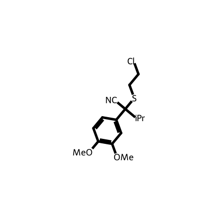 COc1ccc(C(C#N)(SCCCl)C(C)C)cc1OC